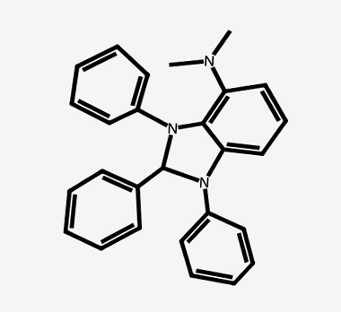 CN(C)c1cccc2c1N(c1ccccc1)C(c1ccccc1)N2c1ccccc1